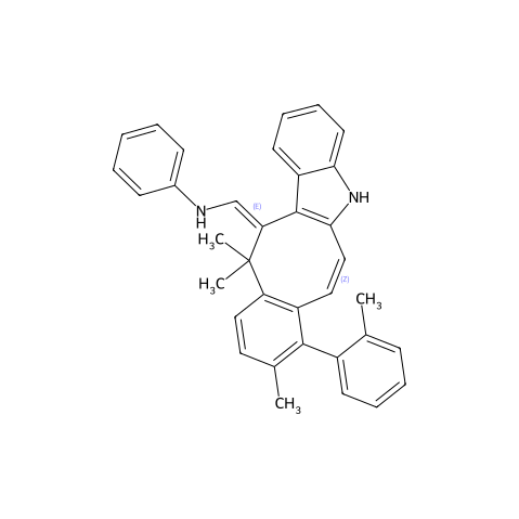 Cc1ccccc1-c1c(C)ccc2c1/C=C\c1[nH]c3ccccc3c1/C(=C/Nc1ccccc1)C2(C)C